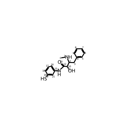 CNC(Cc1ccccc1)C(O)C(=O)Nc1cccc(S)c1